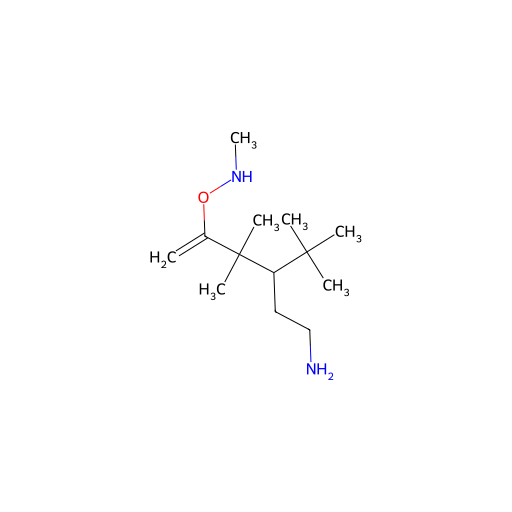 C=C(ONC)C(C)(C)C(CCN)C(C)(C)C